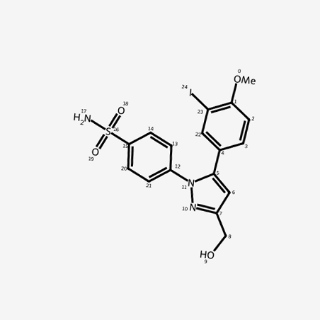 COc1ccc(-c2cc(CO)nn2-c2ccc(S(N)(=O)=O)cc2)cc1I